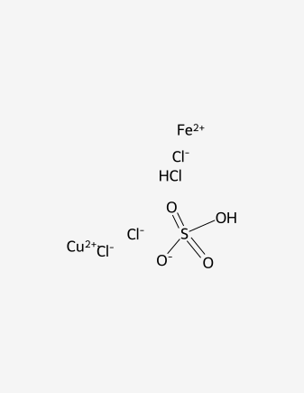 Cl.O=S(=O)([O-])O.[Cl-].[Cl-].[Cl-].[Cu+2].[Fe+2]